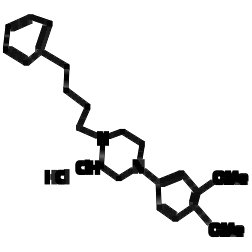 COc1ccc(N2CCN(CCCCc3ccccc3)CC2)cc1OC.Cl.Cl